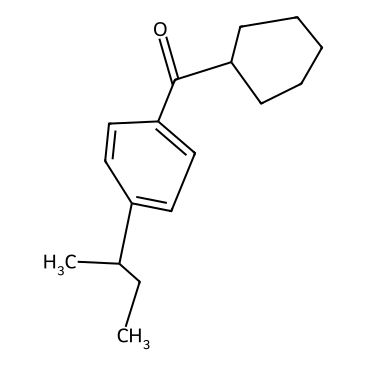 CCC(C)c1ccc(C(=O)C2CCCCC2)cc1